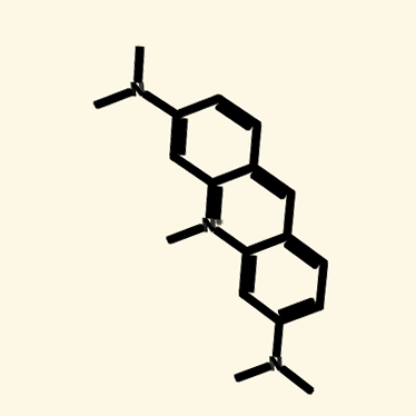 CN(C)c1ccc2cc3ccc(N(C)C)cc3[n+](C)c2c1